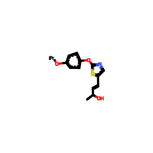 CC(O)C=Cc1cnc(Oc2ccc(OC(C)C)cc2)s1